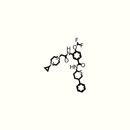 O=C(CN1CCN(C2CC2)CC1)Nc1cc(C(=O)NC2CCC(c3ccccc3)CS2)ccc1OC(F)F